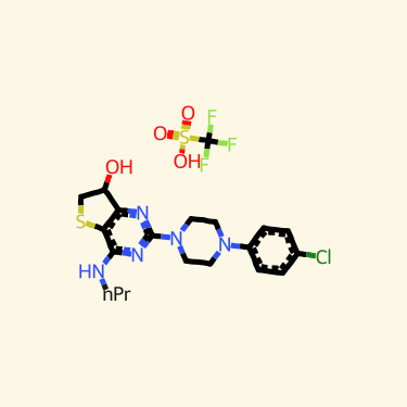 CCCNc1nc(N2CCN(c3ccc(Cl)cc3)CC2)nc2c1SCC2O.O=S(=O)(O)C(F)(F)F